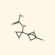 NC(=O)NC1(C23CC(F)(C2)C3)CC1